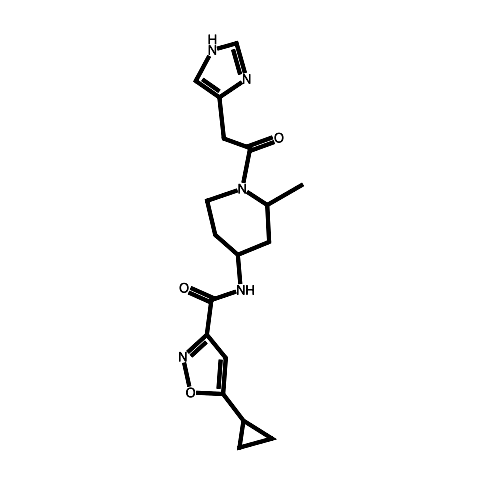 CC1CC(NC(=O)c2cc(C3CC3)on2)CCN1C(=O)Cc1c[nH]cn1